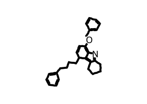 C1=CC(CCCCc2ccccc2)C2=C3CCCCC3=NC2=C1OCc1ccccc1